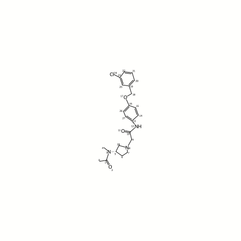 CC(=O)N(C)[C@H]1CCN(CC(=O)Nc2ccc(OCc3cccc(Cl)c3)cc2)C1